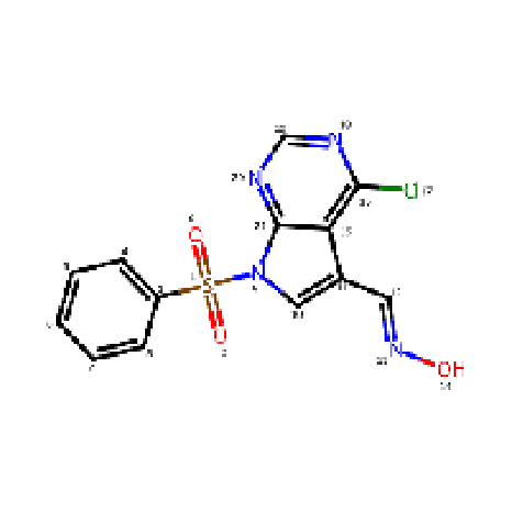 O=S(=O)(c1ccccc1)n1cc(/C=N/O)c2c(Cl)ncnc21